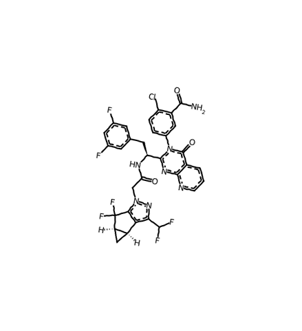 NC(=O)c1cc(-n2c([C@H](Cc3cc(F)cc(F)c3)NC(=O)Cn3nc(C(F)F)c4c3C(F)(F)[C@@H]3C[C@H]43)nc3ncccc3c2=O)ccc1Cl